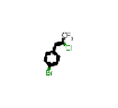 FC(F)(F)C(Cl)=Cc1ccc(Br)cc1